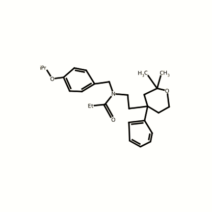 CCC(=O)N(CCC1(c2ccccc2)CCOC(C)(C)C1)Cc1ccc(OC(C)C)cc1